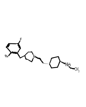 CCN[C@H]1CC[C@H](CCN2CCC(Cc3cc(F)ccc3Br)CC2)CC1